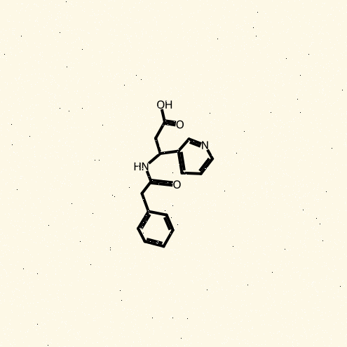 O=C(O)CC(NC(=O)Cc1ccccc1)c1cccnc1